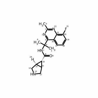 Cc1nc(C(C)(C)NC(=O)[C@@H]2C3CNC[C@H]32)c2cccc(F)c2n1